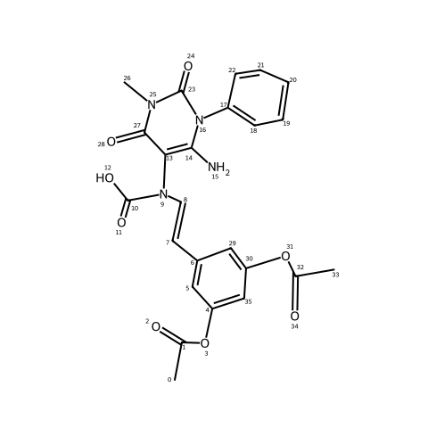 CC(=O)Oc1cc(C=CN(C(=O)O)c2c(N)n(-c3ccccc3)c(=O)n(C)c2=O)cc(OC(C)=O)c1